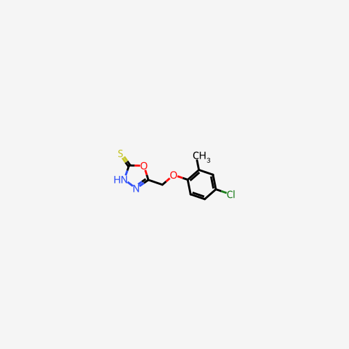 Cc1cc(Cl)ccc1OCc1n[nH]c(=S)o1